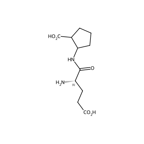 N[C@@H](CCC(=O)O)C(=O)NC1CCCC1C(=O)O